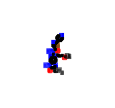 CCOCCCn1c(NC(=O)c2cnc(-c3ccncc3)s2)nc2cc3[nH]c(=O)c(C)nc3cc21